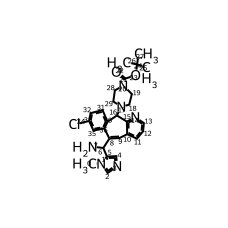 Cn1cncc1C(N)C1=Cc2cccnc2C(N2CCN(C(=O)OC(C)(C)C)CC2)c2ccc(Cl)cc21